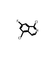 Fc1cc(Cl)c2ccnc(Cl)c2c1